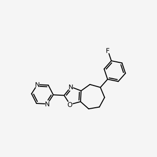 Fc1cccc(C2CCCc3oc(-c4cnccn4)nc3C2)c1